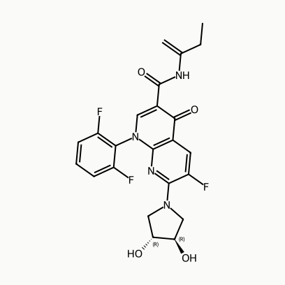 C=C(CC)NC(=O)c1cn(-c2c(F)cccc2F)c2nc(N3C[C@@H](O)[C@H](O)C3)c(F)cc2c1=O